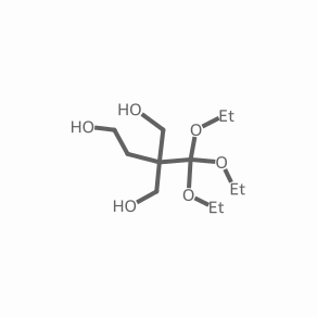 CCOC(OCC)(OCC)C(CO)(CO)CCO